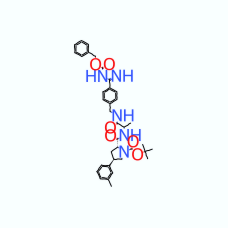 Cc1cccc([C@H]2C[C@H](C(=O)NC(C)C(=O)NCc3ccc(C(=N)NC(=O)OCc4ccccc4)cc3)N(C(=O)OC(C)(C)C)C2)c1